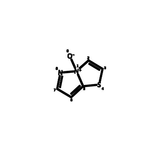 [O-][N+]12C=CSC1=CC=N2